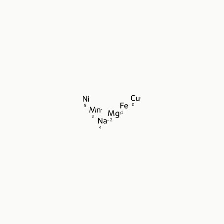 [Cu].[Fe].[Mg].[Mn].[Na].[Ni]